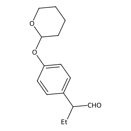 CCC(C=O)c1ccc(OC2CCCCO2)cc1